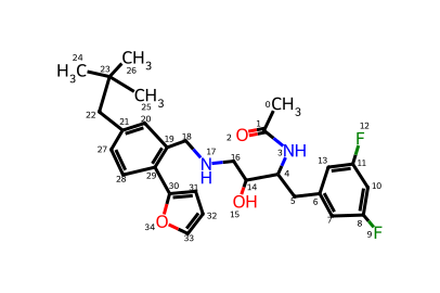 CC(=O)NC(Cc1cc(F)cc(F)c1)C(O)CNCc1cc(CC(C)(C)C)ccc1-c1ccco1